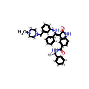 CC[C@@H](NC(=O)c1ccc2c(c1)/C(=C(/Nc1cccc(CN3CCN(C)CC3)c1)c1ccccc1)C(=O)N2)c1ccccc1